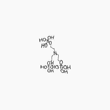 [OH][Ti]([OH])([OH])[O]CCN(CC[O][Ti]([OH])([OH])[OH])CC[O][Ti]([OH])([OH])[OH]